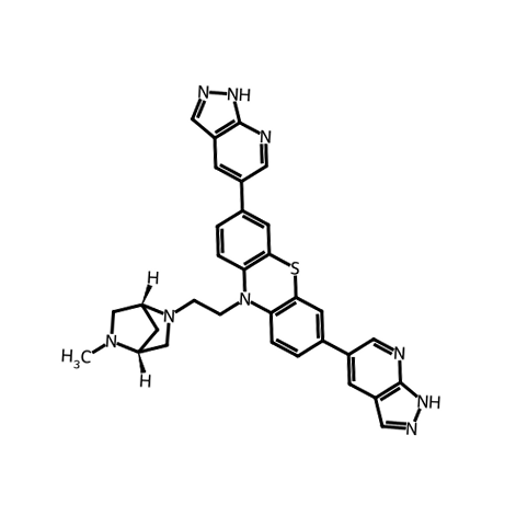 CN1C[C@H]2C[C@@H]1CN2CCN1c2ccc(-c3cnc4[nH]ncc4c3)cc2Sc2cc(-c3cnc4[nH]ncc4c3)ccc21